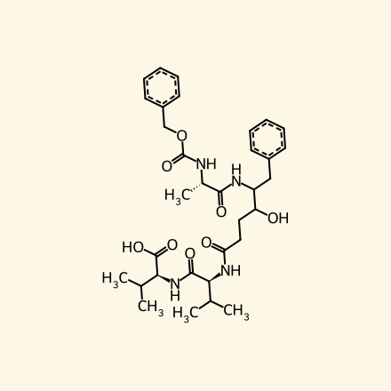 CC(C)[C@H](NC(=O)[C@@H](NC(=O)CCC(O)C(Cc1ccccc1)NC(=O)[C@H](C)NC(=O)OCc1ccccc1)C(C)C)C(=O)O